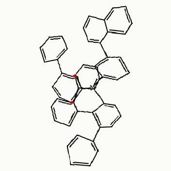 c1ccc(-c2cccc(N(c3cccc(-c4cccc5ccccc45)c3)c3cccc(-c4ccccc4)c3-c3ccccc3-c3ccccc3)c2)cc1